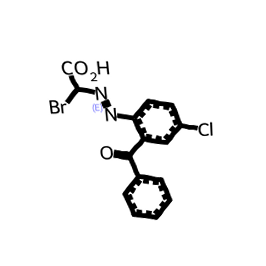 O=C(c1ccccc1)c1cc(Cl)ccc1/N=N/C(Br)C(=O)O